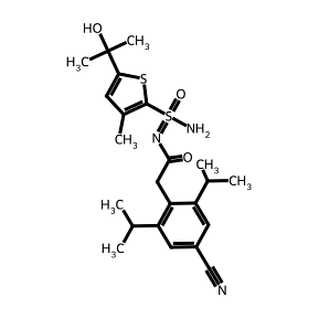 Cc1cc(C(C)(C)O)sc1S(N)(=O)=NC(=O)Cc1c(C(C)C)cc(C#N)cc1C(C)C